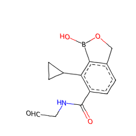 O=CCNC(=O)c1ccc2c(c1C1CC1)B(O)OC2